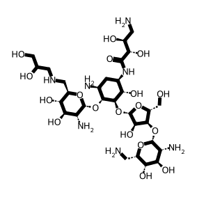 NC[C@@H]1O[C@H](O[C@H]2[C@@H](O)[C@H](O[C@@H]3[C@@H](O)[C@H](NC(=O)[C@@H](O)[C@@H](O)CN)C[C@H](N)[C@H]3O[C@H]3O[C@H](CNCC(O)CO)[C@@H](O)[C@H](O)[C@H]3N)O[C@@H]2CO)[C@H](N)[C@@H](O)[C@@H]1O